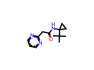 CC(C)(C)C1(NC(=O)Cc2ncccn2)CC1